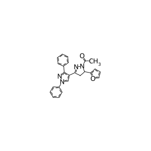 CC(=O)N1N=C(c2cn(-c3ccccc3)nc2-c2ccccc2)CC1c1ccco1